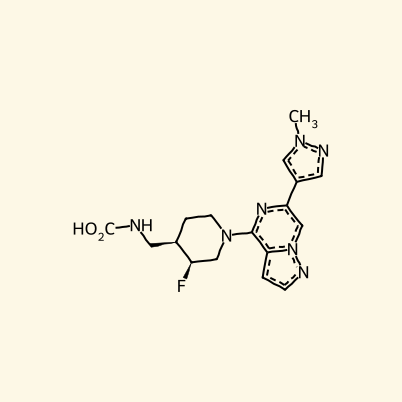 Cn1cc(-c2cn3nccc3c(N3CC[C@H](CNC(=O)O)[C@H](F)C3)n2)cn1